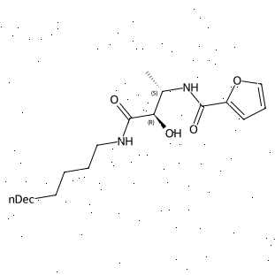 CCCCCCCCCCCCCCNC(=O)[C@H](O)[C@H](C)NC(=O)c1ccco1